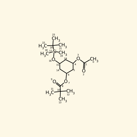 CC(=O)OC1CC(OC(=O)C(C)(C)C)CC(O[Si](C)(C)C(C)(C)C)C1